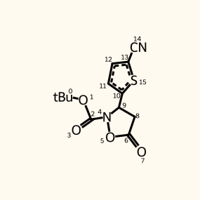 CC(C)(C)OC(=O)N1OC(=O)CC1c1ccc(C#N)s1